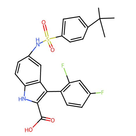 CC(C)(C)c1ccc(S(=O)(=O)Nc2ccc3[nH]c(C(=O)O)c(-c4ccc(F)cc4F)c3c2)cc1